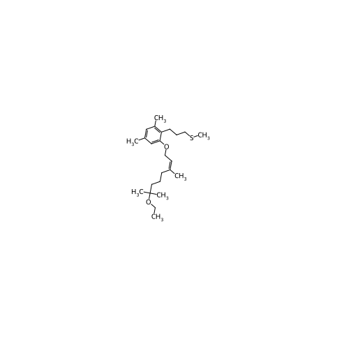 CCOC(C)(C)CCCC(C)=CCOc1cc(C)cc(C)c1CCCSC